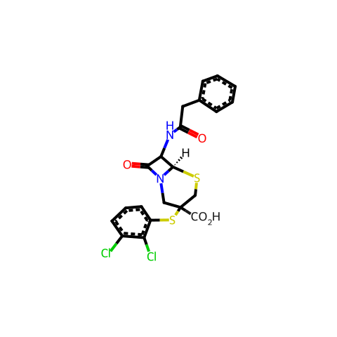 O=C(Cc1ccccc1)NC1C(=O)N2CC(Sc3cccc(Cl)c3Cl)(C(=O)O)CS[C@H]12